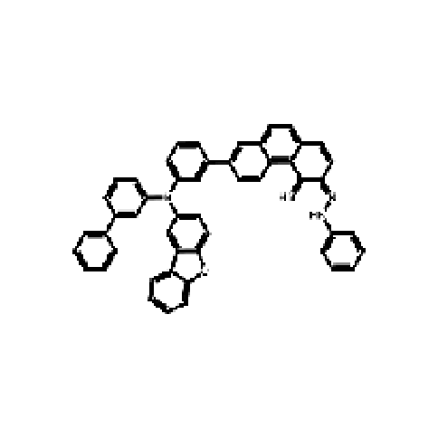 N=C1/C(=N\Nc2ccccc2)C=Cc2ccc3cc(-c4cccc(N(c5cccc(-c6ccccc6)c5)c5ccc6oc7ccccc7c6c5)c4)ccc3c21